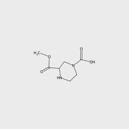 COC(=O)C1CN(C(=O)O)CCN1